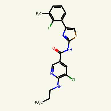 O=C(O)CCNc1ncc(C(=O)Nc2nc(-c3cccc(C(F)(F)F)c3F)cs2)cc1Cl